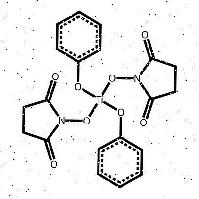 O=C1CCC(=O)N1[O][Ti]([O]c1ccccc1)([O]c1ccccc1)[O]N1C(=O)CCC1=O